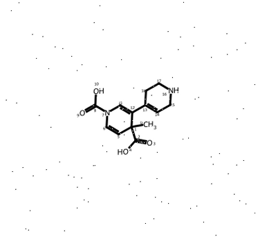 CC1(C(=O)O)C=CN(C(=O)O)C=C1C1=CCNCC1